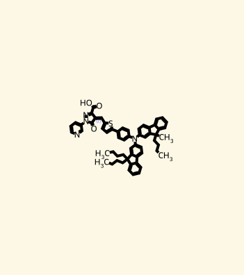 CCCCC1(C)c2ccccc2-c2ccc(N(c3ccc(-c4ccc(/C=C5\C(=O)N(c6cccnc6)N=C5C(=O)O)s4)cc3)c3ccc4c(c3)C(CCCC)(CCCC)c3ccccc3-4)cc21